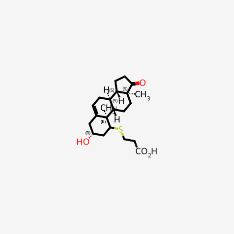 C[C@]12CC[C@H]3[C@@H](CC=C4C[C@@H](O)CC(SCCC(=O)O)[C@@]43C)[C@@H]1CCC2=O